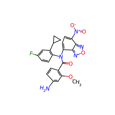 COc1cc(N)ccc1C(=O)N(c1ccc(F)cc1C1CC1)c1ccc([N+](=O)[O-])c2nonc12